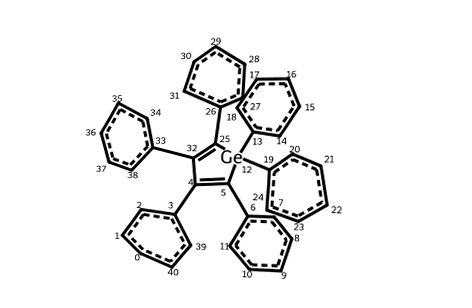 c1ccc(C2=[C](c3ccccc3)[Ge]([c]3ccccc3)([c]3ccccc3)[C](c3ccccc3)=C2c2ccccc2)cc1